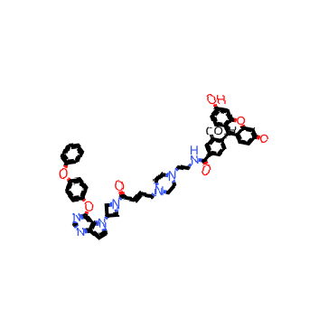 O=C(NCCN1CCN(C/C=C/C(=O)N2CC(n3ccc4ncnc(Oc5ccc(Oc6ccccc6)cc5)c43)C2)CC1)c1ccc(-c2c3ccc(=O)cc-3oc3cc(O)ccc23)c(C(=O)O)c1